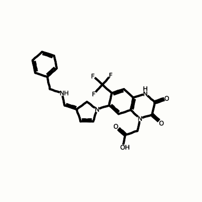 O=C(O)Cn1c(=O)c(=O)[nH]c2cc(C(F)(F)F)c(N3C=CC(=CNCc4ccccc4)C3)cc21